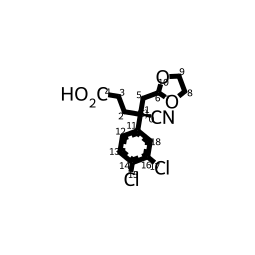 N#C[C@@](CCC(=O)O)(CC1OCCO1)c1ccc(Cl)c(Cl)c1